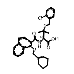 CC(C)(SCc1ccccc1Cl)[C@H](NC(=O)c1ccc2ccccc2c1OCC1CCCCC1)C(=O)O